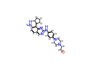 CNc1ccc2cnc(Nc3ccc(N4CCN(CC=O)CC4)cc3)nc2c1C1CCCC1